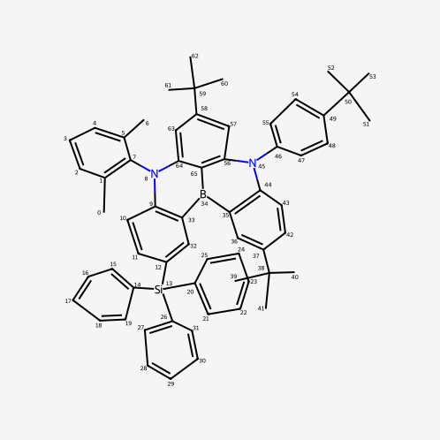 Cc1cccc(C)c1N1c2ccc([Si](c3ccccc3)(c3ccccc3)c3ccccc3)cc2B2c3cc(C(C)(C)C)ccc3N(c3ccc(C(C)(C)C)cc3)c3cc(C(C)(C)C)cc1c32